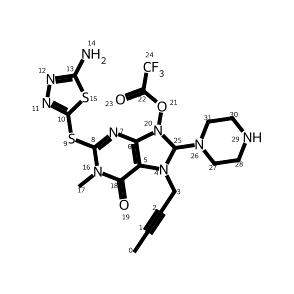 CC#CCN1c2c(nc(Sc3nnc(N)s3)n(C)c2=O)N(OC(=O)C(F)(F)F)C1N1CCNCC1